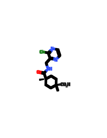 C[C@]1(C(=O)O)CC[C@@](C)(C(=O)NCc2nccnc2Cl)CC1